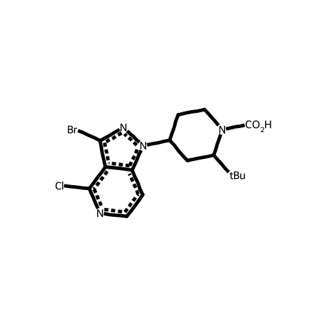 CC(C)(C)C1CC(n2nc(Br)c3c(Cl)nccc32)CCN1C(=O)O